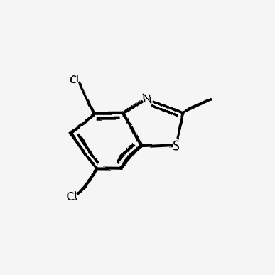 Cc1nc2c(Cl)cc(Cl)cc2s1